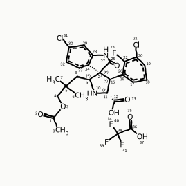 CC(=O)OCC(C)(C)C[C@@H]1N[C@@H](C(=O)O)[C@H](c2cccc(Cl)c2F)[C@]12C(=O)Nc1cc(Cl)ccc12.O=C(O)C(F)(F)F